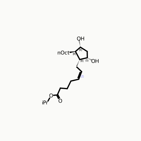 CCCCCCCC[C@@H]1[C@@H](C/C=C\CCCC(=O)OC(C)C)[C@@H](O)C[C@H]1O